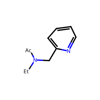 CCN(Cc1ccccn1)C(C)=O